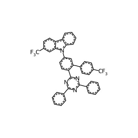 FC(F)(F)c1ccc(-c2cc(-n3c4ccccc4c4ccc(C(F)(F)F)cc43)ccc2-c2nc(-c3ccccc3)nc(-c3ccccc3)n2)cc1